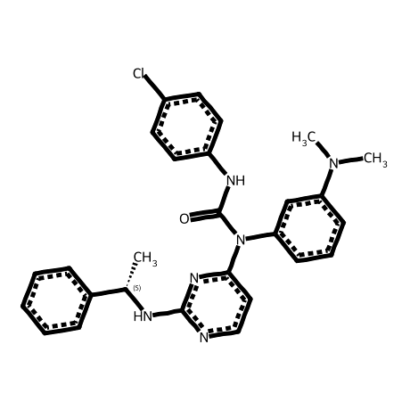 C[C@H](Nc1nccc(N(C(=O)Nc2ccc(Cl)cc2)c2cccc(N(C)C)c2)n1)c1ccccc1